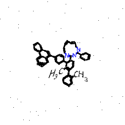 Cc1ccccc1-c1ccc(C2=N/C=C\C=C/C=C/C=N/C(c3ccccc3)=N\2)c(-c2ccc(-c3cc4ccccc4c4ccccc34)cc2)c1C